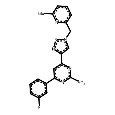 CC(C)(C)c1cccc(Cn2cc(-c3cc(-c4cccc(F)c4)nc(N)n3)nn2)n1